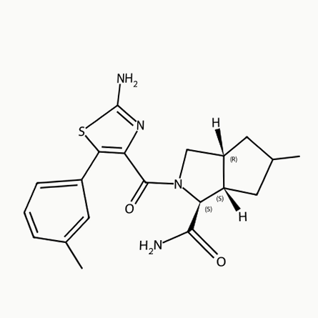 Cc1cccc(-c2sc(N)nc2C(=O)N2C[C@@H]3CC(C)C[C@@H]3[C@H]2C(N)=O)c1